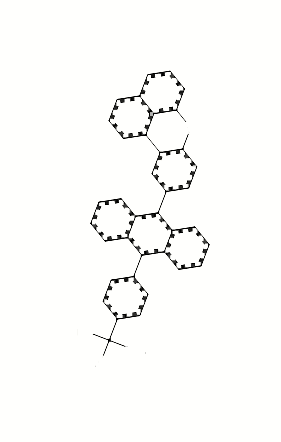 CC(C)(C)c1ccc(-c2c3ccccc3c(-c3ccc4c(c3)-c3cccc5cccc(c35)O4)c3ccccc23)cc1